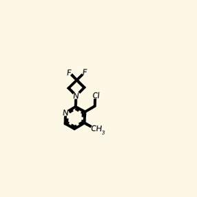 Cc1ccnc(N2CC(F)(F)C2)c1CCl